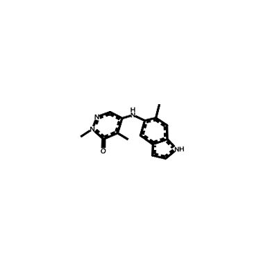 Cc1cc2[nH]ccc2cc1Nc1cnn(C)c(=O)c1C